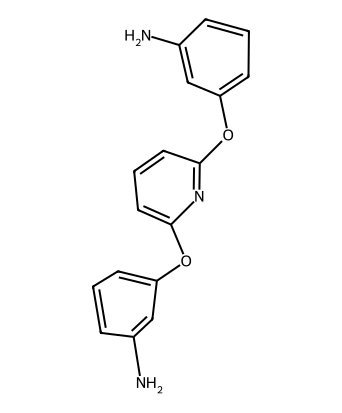 Nc1cccc(Oc2cccc(Oc3cccc(N)c3)n2)c1